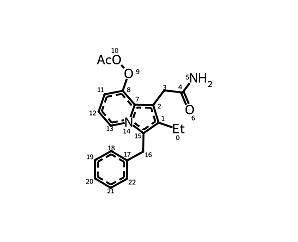 CCc1c(CC(N)=O)c2c(OOC(C)=O)cccn2c1Cc1ccccc1